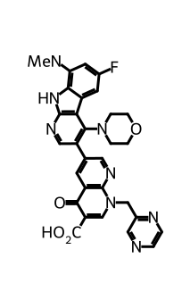 CNc1cc(F)cc2c1[nH]c1ncc(-c3cnc4c(c3)c(=O)c(C(=O)O)cn4Cc3cnccn3)c(N3CCOCC3)c12